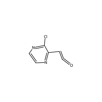 O=C=Cc1nccnc1Cl